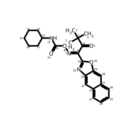 CC(C)(C)C(=O)/C(=N\OC(=O)NC1CCCCC1)c1nc2cc3ccccc3cc2o1